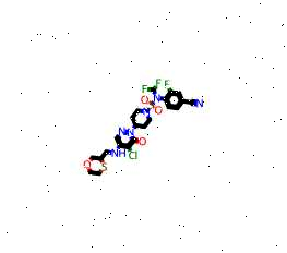 N#Cc1ccc(N(C(F)F)S(=O)(=O)N2CCC(n3ncc(NCC4COCCS4)c(Cl)c3=O)CC2)c(F)c1